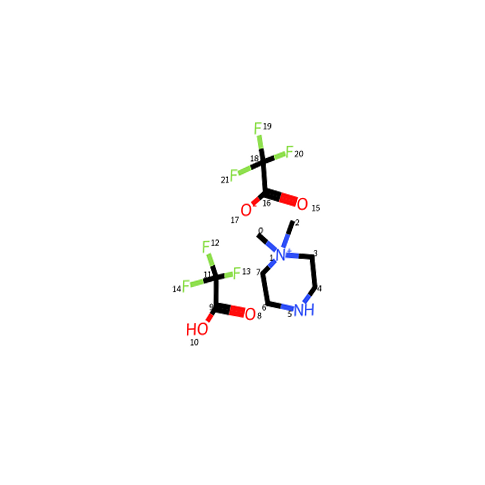 C[N+]1(C)CCNCC1.O=C(O)C(F)(F)F.O=C([O-])C(F)(F)F